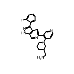 NCC1CCCN(c2ccncc2-c2cc3c(-c4ccccc4F)n[nH]c3cn2)C1